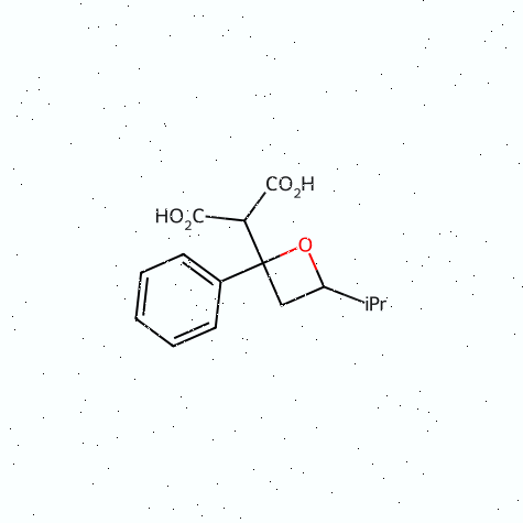 CC(C)C1CC(c2ccccc2)(C(C(=O)O)C(=O)O)O1